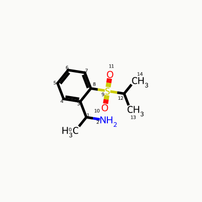 CC(N)c1ccccc1S(=O)(=O)C(C)C